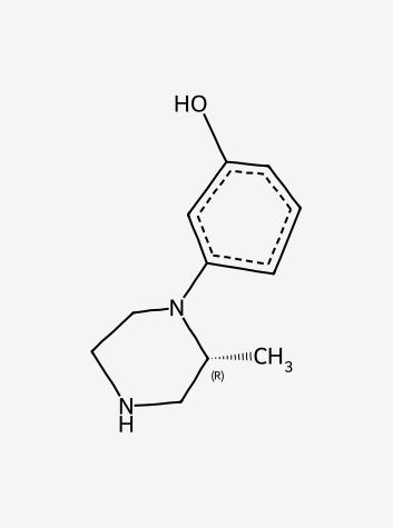 C[C@@H]1CNCCN1c1cccc(O)c1